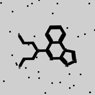 ICCN(CCI)c1nc2nncn2c2ccccc12